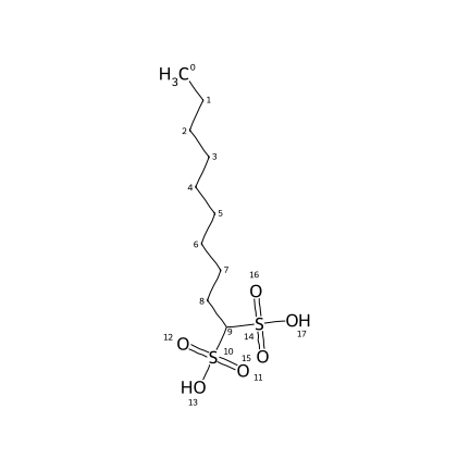 CCCCCCCCCC(S(=O)(=O)O)S(=O)(=O)O